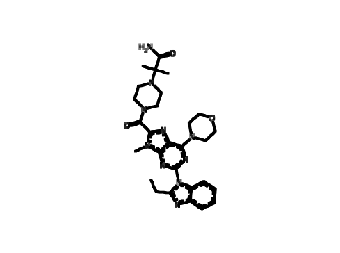 CCc1nc2ccccc2n1-c1nc(N2CCOCC2)c2nc(C(=O)N3CCN(C(C)(C)C(N)=O)CC3)n(C)c2n1